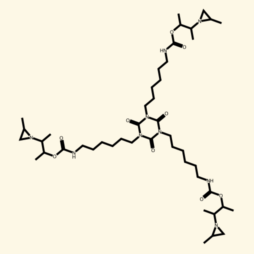 CC(OC(=O)NCCCCCCn1c(=O)n(CCCCCCNC(=O)OC(C)C(C)N2CC2C)c(=O)n(CCCCCCNC(=O)OC(C)C(C)N2CC2C)c1=O)C(C)N1CC1C